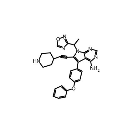 CC(c1ncon1)n1c(C#CC2CCNCC2)c(-c2ccc(Oc3ccccc3)cc2)c2c(N)ncnc21